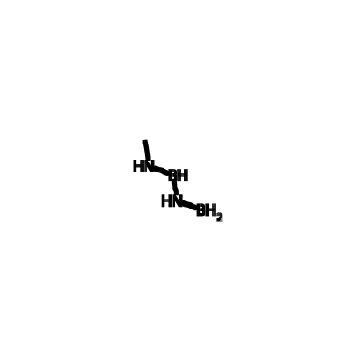 BNBNC